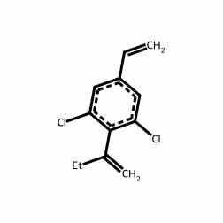 C=Cc1cc(Cl)c(C(=C)CC)c(Cl)c1